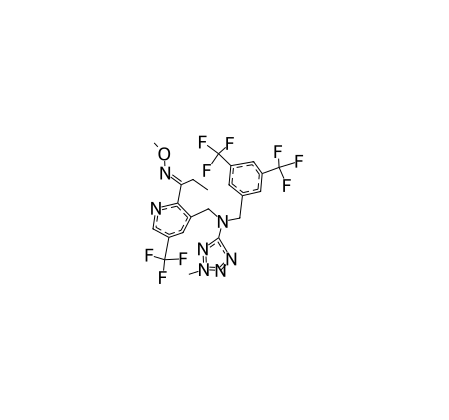 CCC(=NOC)c1ncc(C(F)(F)F)cc1CN(Cc1cc(C(F)(F)F)cc(C(F)(F)F)c1)c1nnn(C)n1